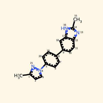 Cc1ccn(-c2ccc(-c3ccc4nc(C)[nH]c4c3)cc2)n1